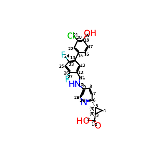 O=C(O)[C@@H]1C[C@H]1c1ccc(NCc2cc(-c3ccc(O)c(Cl)c3)c(F)cc2F)cn1